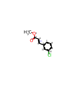 COC(=O)/C=C/c1cccc(Cl)c1